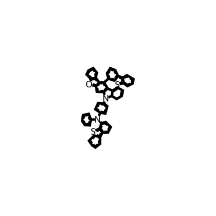 C1=CCC2C(=C1)c1c(cc3oc4ccccc4c3c1-c1cccc3c1sc1ccccc13)N2c1ccc(N(c2ccccc2)c2cccc3c2sc2ccccc23)cc1